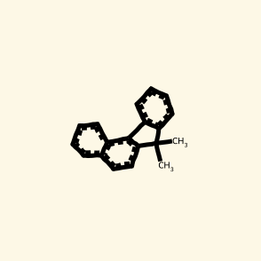 CC1(C)c2ccccc2-c2c1ccc1ccccc21